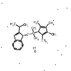 CC1=C(C)C([Si](C)(C)[Zr+2][CH]2C(C(C)C)=Cc3ccccc32)C(C)=C1C.[Cl-].[Cl-]